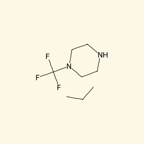 CCC.FC(F)(F)N1CCNCC1